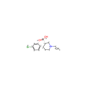 CCN1CC[C@H](c2ccc(Br)cc2)[C@H](C(=O)O)C1